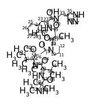 CC[C@H](C)[C@@H]([C@@H](CC(=O)N1CCC[C@H]1[C@H](OC)[C@@H](C)C(=O)N[C@@H](Cc1ccccc1)C(=O)NCc1c[nH]nn1)OC)N(C)C(=O)[C@@H](NC(=O)C(C)(C)NC)C(C)C